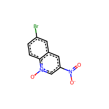 O=[N+]([O-])c1cc2cc(Br)ccc2[n+]([O-])c1